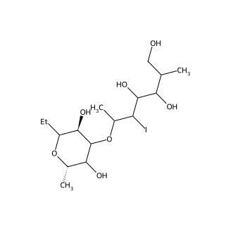 CCC1O[C@@H](C)C(O)C(OC(C)C(I)C(O)C(O)C(C)CO)[C@@H]1O